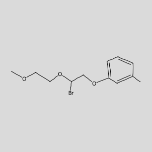 COCCOC(Br)COc1cccc(C)c1